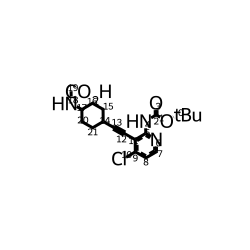 CC(C)(C)OC(=O)Nc1nccc(Cl)c1C#CC1CCC(NC(=O)O)CC1